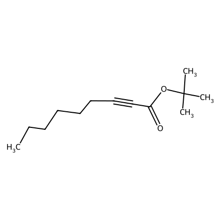 CCCCCCC#CC(=O)OC(C)(C)C